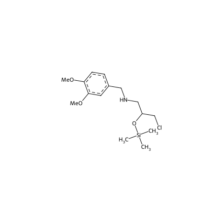 COc1ccc(CNCC(CCl)O[Si](C)(C)C)cc1OC